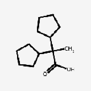 CC(C(=O)O)(C1CCCC1)C1CCCC1